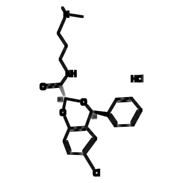 CN(C)CCCNC(=O)[C@H]1Oc2ccc(Cl)cc2[C@H](c2ccccc2)O1.Cl